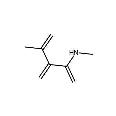 C=C(C)C(=C)C(=C)NC